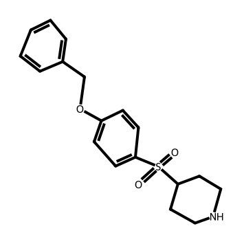 O=S(=O)(c1ccc(OCc2ccccc2)cc1)C1CCNCC1